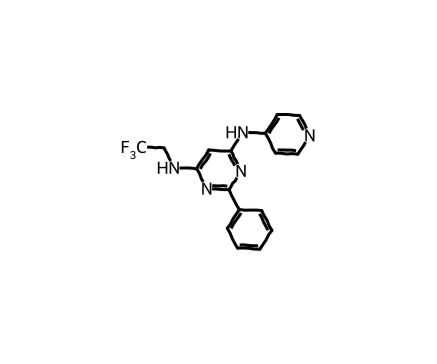 FC(F)(F)CNc1cc(Nc2ccncc2)nc(-c2ccccc2)n1